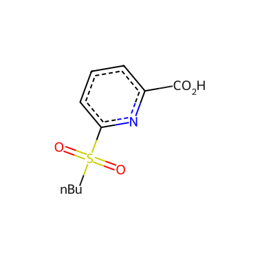 CCCCS(=O)(=O)c1cccc(C(=O)O)n1